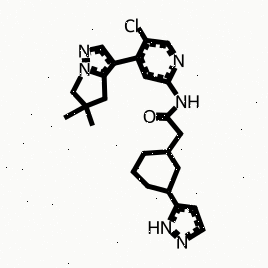 CC1(C)Cc2c(-c3cc(NC(=O)CC4CCCC(c5ccn[nH]5)C4)ncc3Cl)cnn2C1